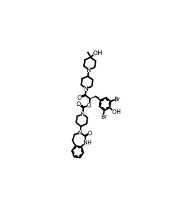 CC1(O)CCN(C2CCN(C(=O)[C@@H](Cc3cc(Br)c(O)c(Br)c3)OC(=O)N3CCC(N4CCc5ccccc5NC4=O)CC3)CC2)CC1